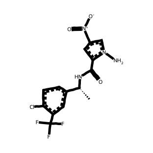 C[C@@H](NC(=O)c1cc([N+](=O)[O-])cn1N)c1ccc(Cl)c(C(F)(F)F)c1